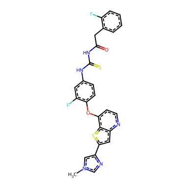 Cn1cnc(-c2cc3nccc(Oc4ccc(NC(=S)NC(=O)Cc5ccccc5F)cc4F)c3s2)c1